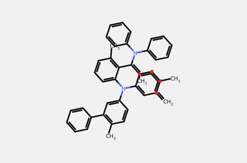 C=C/C=C\C(C)=C(\c1c(C)cccc1N(c1ccc(C)cc1)c1ccc(C)c(-c2ccccc2)c1)N(c1ccccc1)c1ccccc1